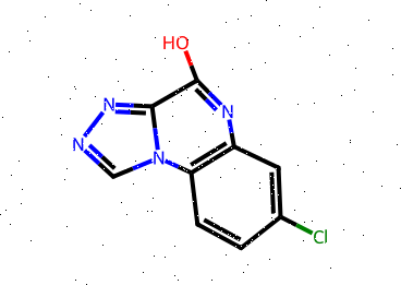 Oc1nc2cc(Cl)ccc2n2cnnc12